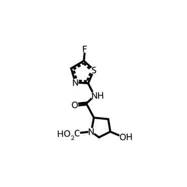 O=C(Nc1ncc(F)s1)C1CC(O)CN1C(=O)O